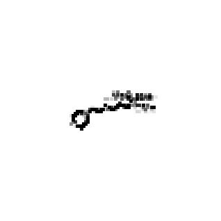 CO[Si](CCCNCCN1CCOCC1)(OC)OC